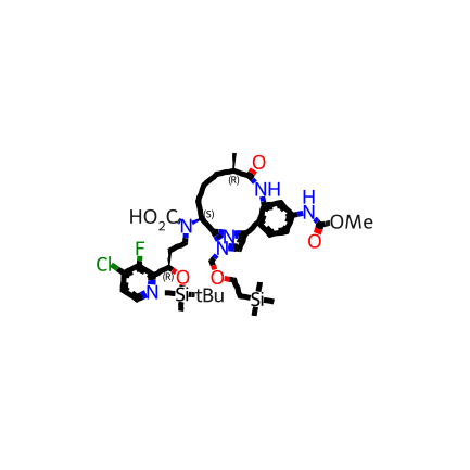 COC(=O)Nc1ccc2c(c1)NC(=O)[C@H](C)CCC[C@H](N(CC[C@@H](O[Si](C)(C)C(C)(C)C)c1nccc(Cl)c1F)C(=O)O)c1nc-2cn1COCC[Si](C)(C)C